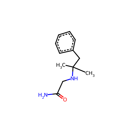 CC(C)(Cc1ccccc1)NCC(N)=O